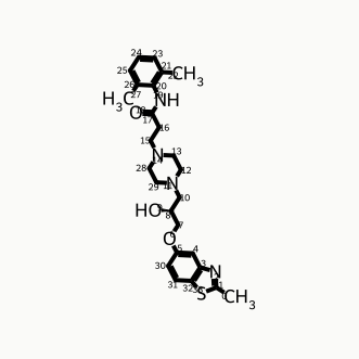 Cc1nc2cc(OC[C@@H](O)CN3CCN(CCC(=O)Nc4c(C)cccc4C)CC3)ccc2s1